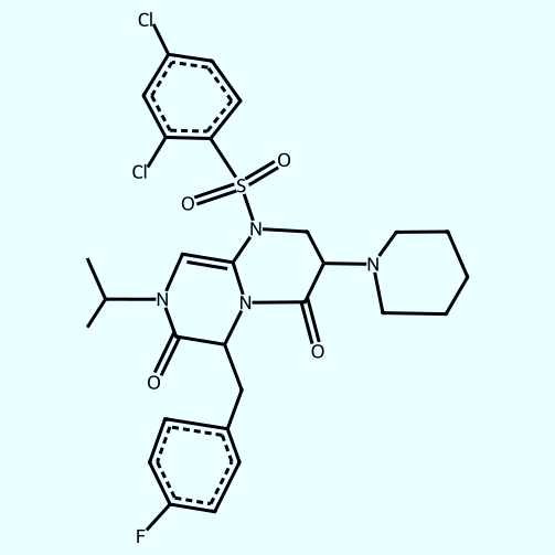 CC(C)N1C=C2N(C(=O)C(N3CCCCC3)CN2S(=O)(=O)c2ccc(Cl)cc2Cl)C(Cc2ccc(F)cc2)C1=O